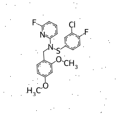 COc1ccc(CN(Sc2ccc(F)c(Cl)c2)c2cccc(F)n2)c(OC)c1